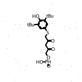 CC(C)(C)c1cc(SCC(=O)CC(=O)CO[PH](=O)O)cc(C(C)(C)C)c1O